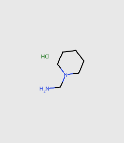 Cl.NCN1CCCCC1